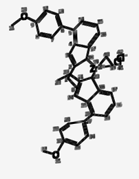 CCC1=Cc2c(-c3ccc(OC)cc3)cccc2[CH]1[Zr+2]1([CH]2C(CC)=Cc3c(-c4ccc(OC)cc4)cccc32)[CH2][CH2]1.[Cl-].[Cl-]